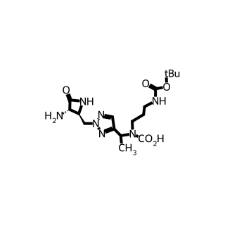 CC(c1cnn(C[C@@H]2NC(=O)[C@H]2N)n1)N(CCCNC(=O)OC(C)(C)C)C(=O)O